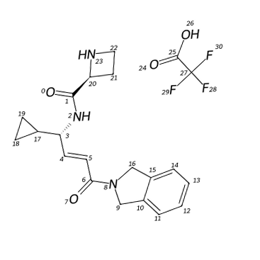 O=C(N[C@H](/C=C/C(=O)N1Cc2ccccc2C1)C1CC1)[C@@H]1CCN1.O=C(O)C(F)(F)F